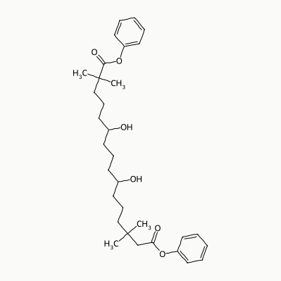 CC(C)(CCCC(O)CCCC(O)CCCC(C)(C)C(=O)Oc1ccccc1)CC(=O)Oc1ccccc1